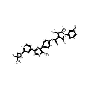 Cc1c(C(=O)Nc2ccc(-c3nc(-c4ccnc(N5CC(C)(O)C5)c4)cnc3N)cc2)c(=O)n(-c2cccc(Cl)c2)n1C